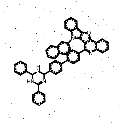 c1ccc(C2=NC(c3ccc(-c4ccc(-c5nc6ccccc6c6oc7c8ccccc8n(-c8ccc9ccccc9c8)c7c56)cc4)cc3)NC(c3ccccc3)N2)cc1